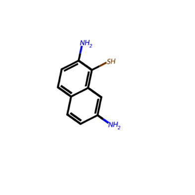 Nc1ccc2ccc(N)c(S)c2c1